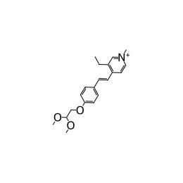 CCc1c[n+](C)ccc1C=Cc1ccc(OCC(OC)OC)cc1